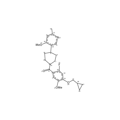 COc1cc(C(=O)N2CCC(c3cnc(C)cc3OC)CC2)c(F)cc1OCC1CC1